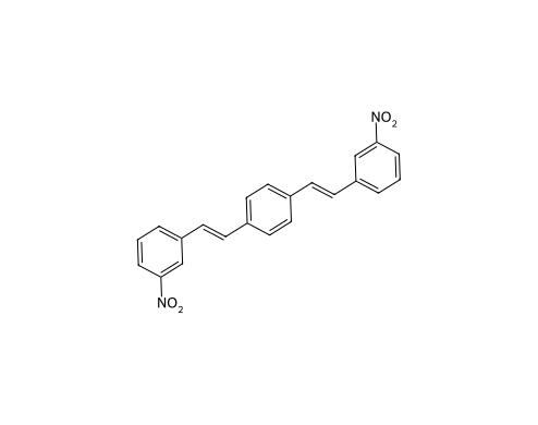 O=[N+]([O-])c1cccc(C=Cc2ccc(C=Cc3cccc([N+](=O)[O-])c3)cc2)c1